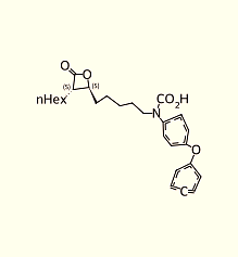 CCCCCC[C@@H]1C(=O)O[C@H]1CCCCCN(C(=O)O)c1ccc(Oc2ccccc2)cc1